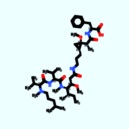 CC[C@H](C)[C@@H]([C@@H](CC(=O)NCCC[C@@H]1C[C@@]1(OC)[C@@H](C)C(=O)N[C@@H](Cc1ccccc1)C(=O)O)OC)N(C)C(=O)[C@@H](NC(=O)[C@H](C(C)C)N(C)CCCC(C)C)C(C)C